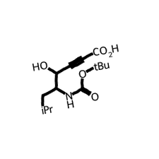 CC(C)CC(NC(=O)OC(C)(C)C)C(O)C#CC(=O)O